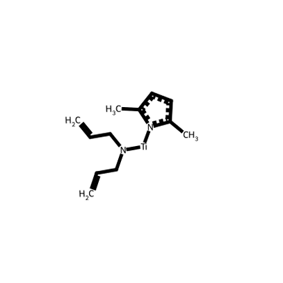 C=CC[N](CC=C)[Ti][n]1c(C)ccc1C